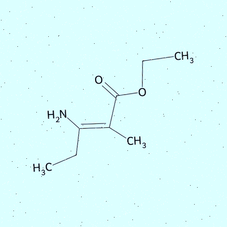 CCOC(=O)/C(C)=C(\N)CC